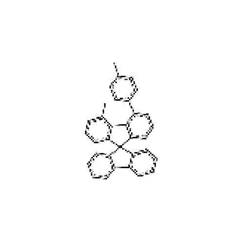 Cc1ccc(-c2cccc3c2-c2c(C)cccc2C32c3ccccc3-c3ccccc32)cc1